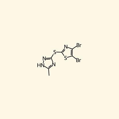 Cc1nc(Sc2nc(Br)c(Br)s2)n[nH]1